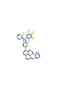 Fc1c(F)c(F)c(N(c2ccccc2)c2ccc(-c3ccc4ccc5cc6cccnc6c6ccc3c4c56)cc2)c(F)c1F